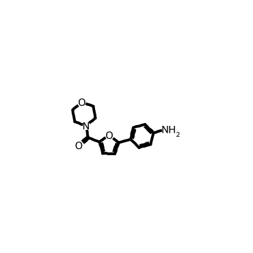 Nc1ccc(-c2ccc(C(=O)N3CCOCC3)o2)cc1